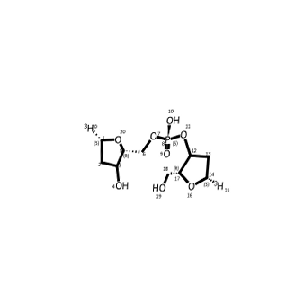 [3H][C@H]1CC(O)[C@@H](CO[P@](=O)(O)OC2C[C@H]([3H])O[C@@H]2CO)O1